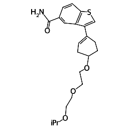 CC(C)OCCOCCOC1CC=C(c2csc3ccc(C(N)=O)cc23)CC1